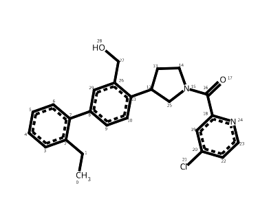 CCc1ccccc1-c1ccc(C2CCN(C(=O)c3cc(Cl)ccn3)C2)c(CO)c1